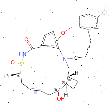 CC(C)[C@@H]1C/C=C/C[C@H](O)[C@@H]2CC[C@H]2CN2CCCCc3cc(Cl)ccc3COc3ccc(cc32)C(=O)N[S+]1[O-]